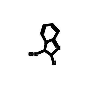 O=CC1C(Cl)N=C2C=CC=CN21